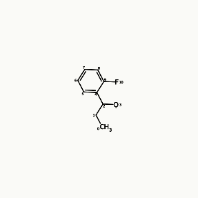 CCC([O])c1ccccc1F